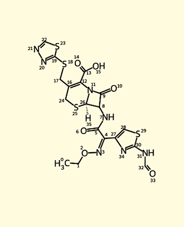 CCO/N=C(\C(=O)NC1C(=O)N2C(C(=O)O)=C(CSc3nncs3)CS[C@H]12)c1csc(NC=O)n1